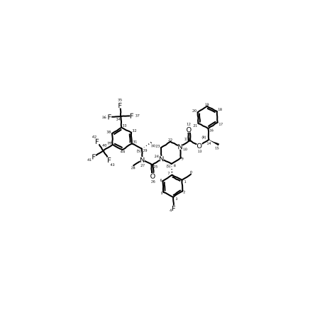 Cc1cc(F)ccc1[C@H]1CN(C(=O)O[C@H](C)c2ccccc2)CCN1C(=O)N(C)[C@@H](C)c1cc(C(F)(F)F)cc(C(F)(F)F)c1